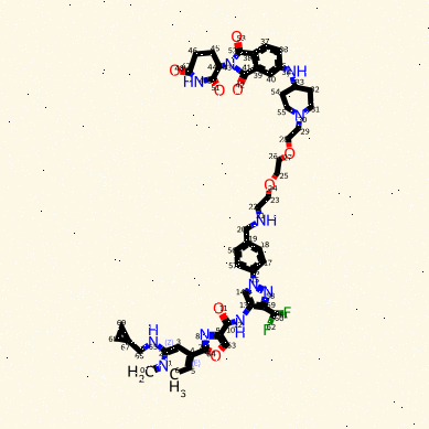 C=N/C(=C\C(=C/C)c1nc(C(=O)Nc2cn(-c3ccc(CNCCOCCOCCN4CCC(Nc5ccc6c(c5)C(=O)N(C5CCC(=O)NC5=O)C6=O)CC4)cc3)nc2C(F)F)co1)NCC1CC1